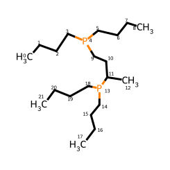 CCCCP(CCCC)CCC(C)P(CCCC)CCCC